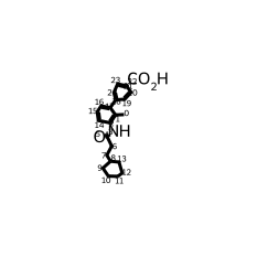 Cc1c(NC(=O)CCC2CCCCC2)cccc1-c1ccc(C(=O)O)cc1